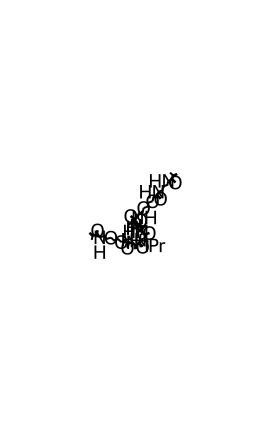 C=C(C)C(=O)NCCCNC(=O)COCCOCCNC(=O)C(CC(C)C)NC(=O)C(C)NC(=O)C(CC(C)C)NC(=O)C(C)NC(=O)COCCOCCNC(=O)C(=C)C